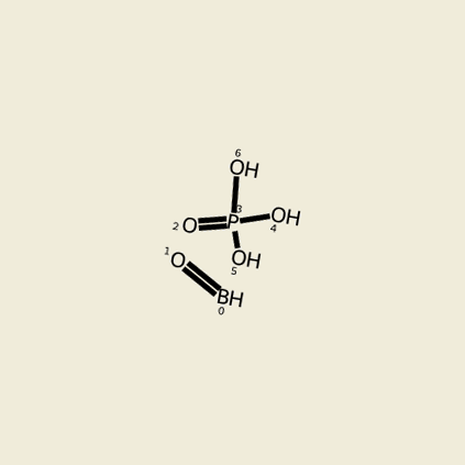 B=O.O=P(O)(O)O